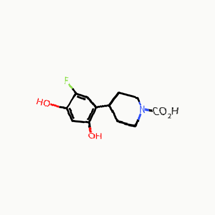 O=C(O)N1CCC(c2cc(F)c(O)cc2O)CC1